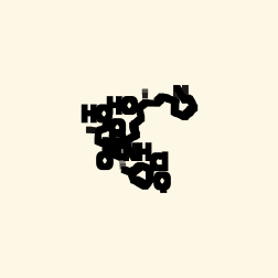 COc1ccc(C[C@@H](NC(=O)/C=C/C[C@H](O)[C@H](C)/C=C/c2ccccn2)C(=O)NC[C@@H](C)C(=O)O)cc1Cl